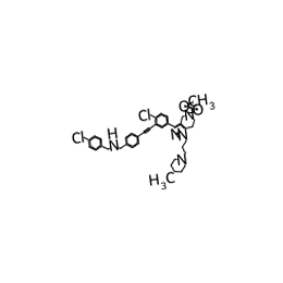 CC1CCN(CCCn2nc(-c3ccc(Cl)c(C#Cc4ccc(CNCc5ccc(Cl)cc5)cc4)c3)c3c2CCN(S(C)(=O)=O)C3)CC1